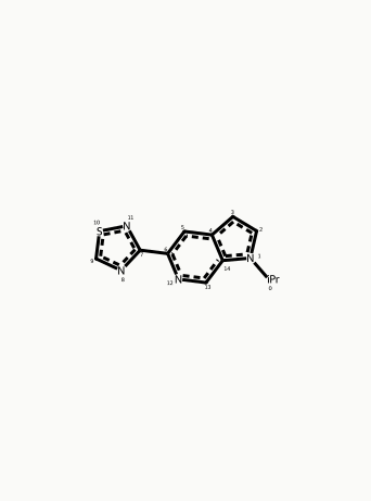 CC(C)n1ccc2cc(-c3ncsn3)ncc21